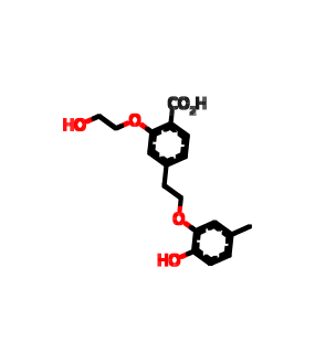 Cc1ccc(O)c(OCCc2ccc(C(=O)O)c(OCCO)c2)c1